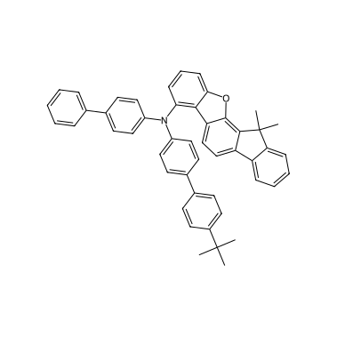 CC(C)(C)c1ccc(-c2ccc(N(c3ccc(-c4ccccc4)cc3)c3cccc4oc5c6c(ccc5c34)-c3ccccc3C6(C)C)cc2)cc1